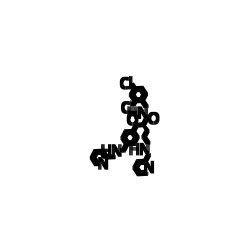 O=C(NCc1ccc(Cl)cc1Cl)[C@@H](CCCNCc1ccccn1)C(=O)c1ccc(CNCc2ccccn2)cc1